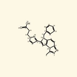 Cc1nnc2ccc3c(cc(-c4ccn(CCC(=O)O)n4)n3Cc3ccccc3)n12